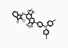 Cc1ccc(N(c2ccc(C)cc2)c2ccc(-c3cc4c(cc(/N=c5\c(=O)c(=O)c6ccccc56)c5nsnc54)c4nsnc34)cc2)cc1